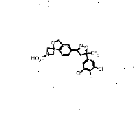 O=C(O)N1CC2(C1)OCc1cc(C3=NOC(c4cc(Cl)c(F)c(Cl)c4)(C(F)(F)F)C3)ccc12